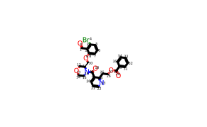 O=Cc1c(Br)cccc1OC[C@@H]1COCCN1C(=O)c1cccnc1CCOC(=O)c1ccccc1